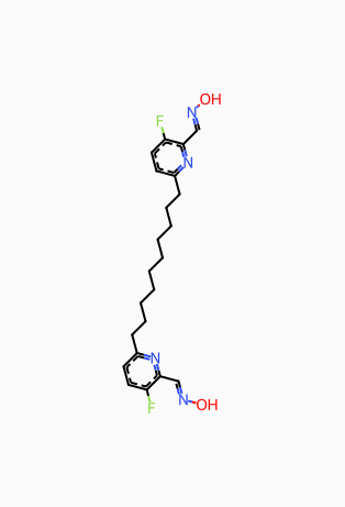 O/N=C/c1nc(CCCCCCCCCCc2ccc(F)c(/C=N/O)n2)ccc1F